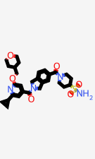 NS(=O)(=O)C1CCN(C(=O)c2ccc3c(c2)CN(C(=O)c2cc(OCC4CCOCC4)nc(C4CC4)c2)C3)CC1